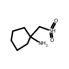 NC1(C[SH](=O)=O)CCCCC1